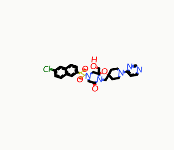 O=C1CN(S(=O)(=O)c2ccc3cc(Cl)ccc3c2)CC2(CO)OC3(CCN(c4ccncn4)CC3)CN12